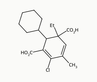 CCC1(C(=O)O)C=C(C)C(Cl)=C(C(=O)O)C1C1CCCCC1